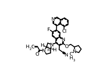 C=CC(=O)N1CC[C@@H]2[C@H]1CN2c1c(CC#N)c(OCC2CCCN2C)nc2cc(-c3cncc4cccc(Cl)c34)c(F)cc12